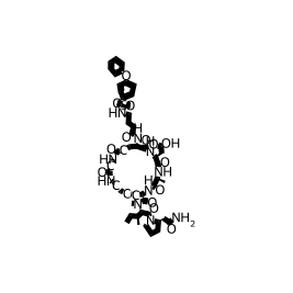 CC[C@H](C)[C@@H](C(=O)N1CCC[C@H]1CC(N)=O)N(C)C(=O)[C@@H]1CCCCNC(=O)CNC(=O)CC[C@H](NC(=O)CCCNS(=O)(=O)c2ccc(Oc3ccccc3)cc2)C(=O)N[C@@H](CC(=O)O)C(=O)N[C@@H](C)C(=O)N1